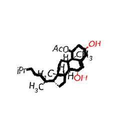 CC(=O)OC1C[C@@H](O)CC2=C[C@H](O)[C@H]3[C@@H]4CC[C@H]([C@H](C)CCCC(C)C)[C@@]4(C)CC[C@@H]3[C@]21C